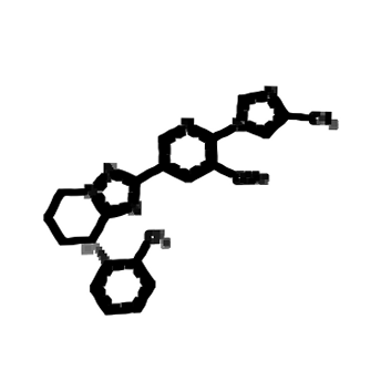 COc1cc(-c2nc3n(n2)CCC[C@H]3c2ccccc2C(F)(F)F)cnc1-n1cnc(C)c1